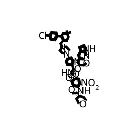 CC1(C)CCC(CN2CCN(c3ccc(C(=O)NS(=O)(=O)c4cc5c(c([N+](=O)[O-])c4)N[C@@H](C4CCOCC4)CO5)c(N4CCOc5nc6[nH]ccc6cc54)c3)CC2)=C(c2ccc(Cl)cc2)C1